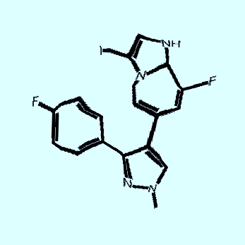 Cn1cc(C2=CN3C(I)=CNC3C(F)=C2)c(-c2ccc(F)cc2)n1